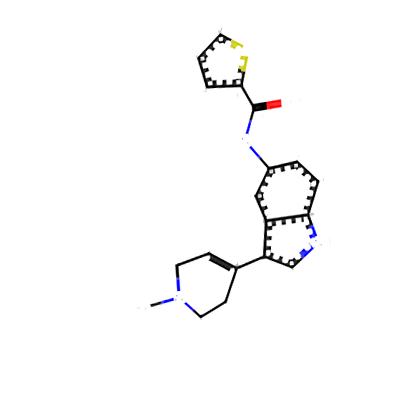 CCCCCCN1CC=C(c2c[nH]c3ccc(NC(=O)c4cccs4)cc23)CC1